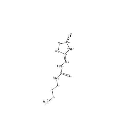 CCCCNC(=O)NN=C1NC(=O)CS1